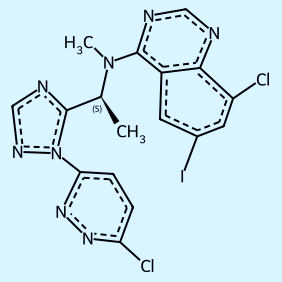 C[C@@H](c1ncnn1-c1ccc(Cl)nn1)N(C)c1ncnc2c(Cl)cc(I)cc12